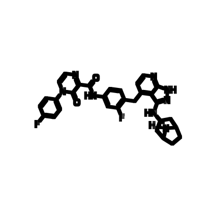 CN1C2CCC1CC(Nc1n[nH]c3nccc(Cc4ccc(NC(=O)c5nccn(-c6ccc(F)cc6)c5=O)cc4F)c13)C2